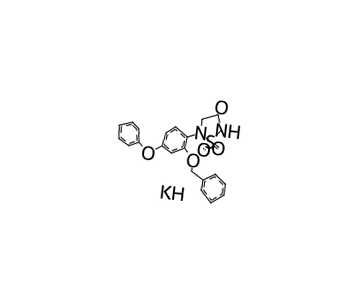 O=C1CN(c2ccc(Oc3ccccc3)cc2OCc2ccccc2)S(=O)(=O)N1.[KH]